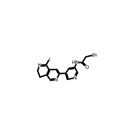 CC(C)CC(=O)Nc1cncc(-c2cc3c(cn2)CCN=C3I)c1